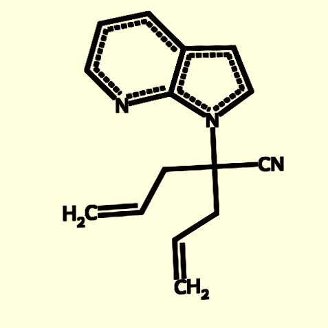 C=CCC(C#N)(CC=C)n1ccc2cccnc21